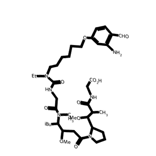 CCC(C)C(C(CC(=O)N1CCCC1C(OC)C(C)C(=O)NCC(=O)O)OC)N(C)C(=O)CNC(=O)N(CC)CCCCCCOc1ccc(C=O)c(N)c1